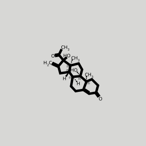 C=C1C[C@H]2[C@@H]3CCC4=CC(=O)CC[C@]4(C)[C@]3(O)CC[C@]2(C)C1(O)C(C)=O